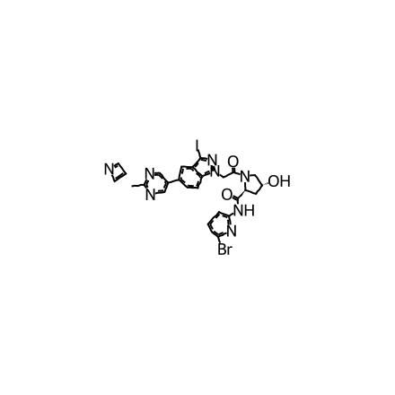 C1=CN=C1.Cc1ncc(-c2ccc3c(c2)c(I)nn3CC(=O)N2C[C@H](O)C[C@H]2C(=O)Nc2cccc(Br)n2)cn1